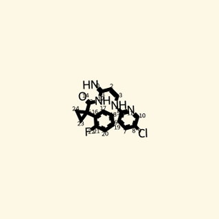 N=C(/C=C\Nc1ccc(Cl)cn1)NC(=O)C1(c2ccccc2F)CC1